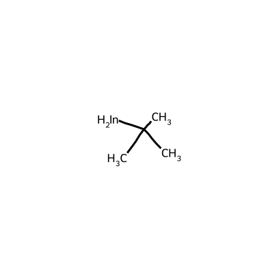 C[C](C)(C)[InH2]